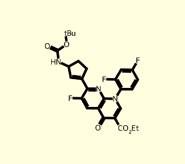 CCOC(=O)c1cn(-c2ccc(F)cc2F)c2nc(C3=CC(NC(=O)OC(C)(C)C)CC3)c(F)cc2c1=O